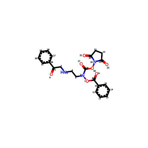 O=C(CNCCN(OC(=O)c1ccccc1)C(=O)ON1C(=O)CCC1=O)c1ccccc1